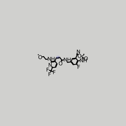 COCCNc1nc(C(F)(F)F)ccc1/C=C\C(=O)NCc1cc(F)c(NS(C)(=O)=O)c(C#N)c1